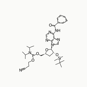 CC(C)N(C(C)C)P(OCCC#N)OC[C@@H]1C[C@@H](O[Si](C)(C)C(C)(C)C)[C@H](n2cnc3c(NC(=O)c4ccccc4)ncnc32)O1